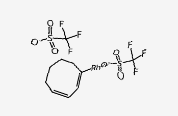 O=S(=O)([O-])C(F)(F)F.O=S(=O)([O-])C(F)(F)F.[Rh+2][C]1=CC=CCCCC1